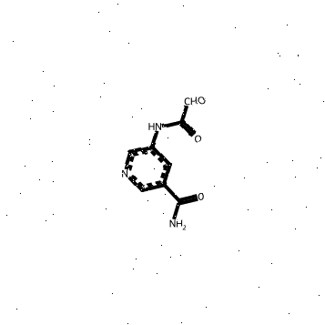 NC(=O)c1cncc(NC(=O)C=O)c1